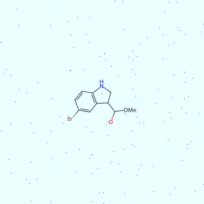 COC([O])C1CNc2ccc(Br)cc21